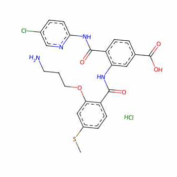 CSc1ccc(C(=O)Nc2cc(C(=O)O)ccc2C(=O)Nc2ccc(Cl)cn2)c(OCCCN)c1.Cl